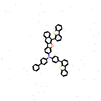 c1ccc(-c2ccc(N(c3ccc(-c4cccc5c4sc4ccccc45)cc3)c3ccc4c(c3)oc3c(-c5cccc6c5sc5ccccc56)c5ccccc5cc34)cc2)cc1